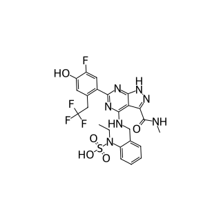 CCN(c1ccccc1CNc1nc(-c2cc(F)c(O)cc2CC(F)(F)F)nc2[nH]nc(C(=O)NC)c12)S(=O)(=O)O